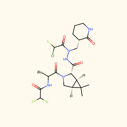 CCC(C)C(NC(=O)C(F)F)C(=O)N1C[C@H]2[C@@H]([C@H]1C(=O)NN(C[C@@H]1CCCNC1=O)C(=O)C(F)Cl)C2(C)C